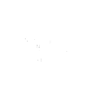 Fc1ccc(C(Cl)C(F)n2ccnc2)cc1